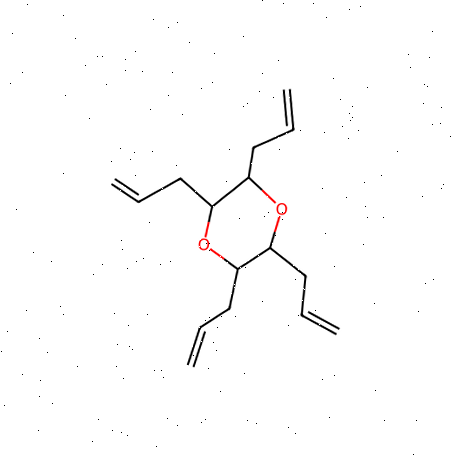 C=CCC1OC(CC=C)C(CC=C)OC1CC=C